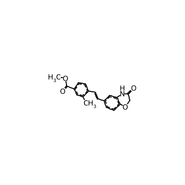 COC(=O)c1ccc(C=Cc2ccc3c(c2)NC(=O)CO3)c(C)c1